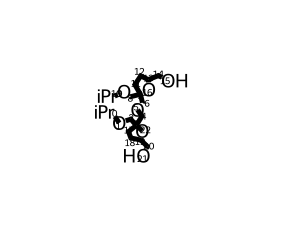 CC(C)OCC1(COCC2(COC(C)C)CCC(CO)O2)CCC(CO)O1